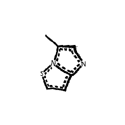 Cc1[c]nc2ccsn12